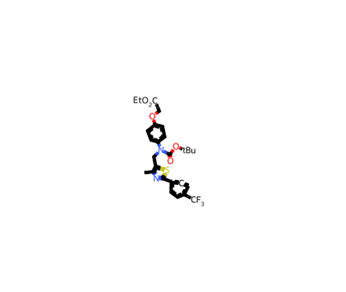 CCOC(=O)COc1ccc(N(Cc2sc(-c3ccc(C(F)(F)F)cc3)nc2C)C(=O)OC(C)(C)C)cc1